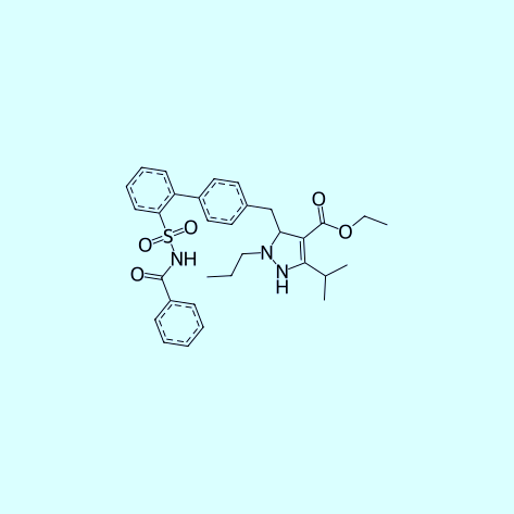 CCCN1NC(C(C)C)=C(C(=O)OCC)C1Cc1ccc(-c2ccccc2S(=O)(=O)NC(=O)c2ccccc2)cc1